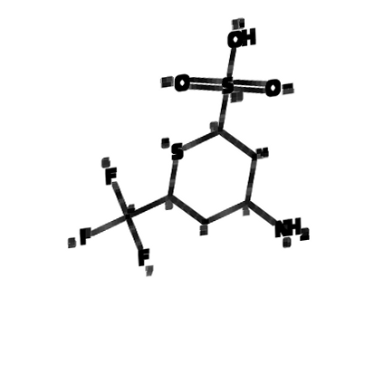 NC1CC(C(F)(F)F)SC(S(=O)(=O)O)C1